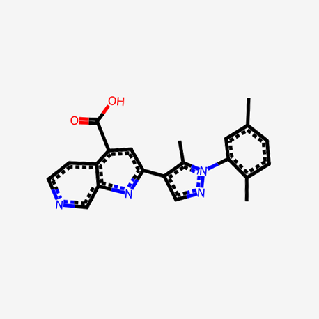 Cc1ccc(C)c(-n2ncc(-c3cc(C(=O)O)c4ccncc4n3)c2C)c1